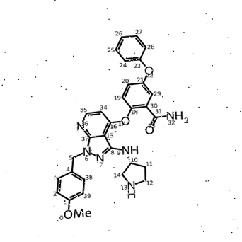 COc1ccc(Cn2nc(N[C@@H]3CCNC3)c3c(Oc4ccc(Oc5ccccc5)cc4C(N)=O)ccnc32)cc1